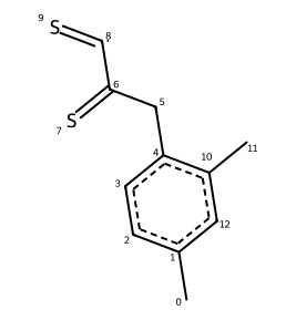 Cc1ccc(CC(=S)[C]=S)c(C)c1